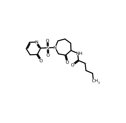 CCC[CH]C(=O)NC1CCCN(S(=O)(=O)C2=NC=CCC2=O)CC1=O